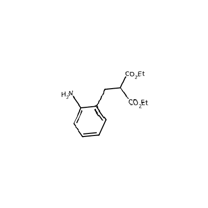 CCOC(=O)C(Cc1ccccc1N)C(=O)OCC